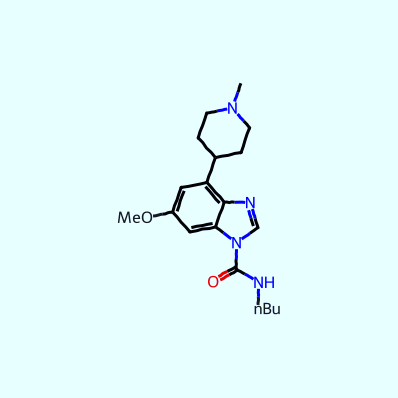 CCCCNC(=O)n1cnc2c(C3CCN(C)CC3)cc(OC)cc21